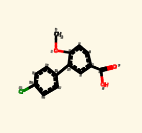 COc1ccc(C(=O)O)cc1-c1ccc(Cl)cc1